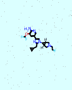 Nc1ncc(-c2cn([C@H]3[C@@H]4CN(CCF)C[C@@H]43)c(CC3CC3)n2)cc1OC(F)F